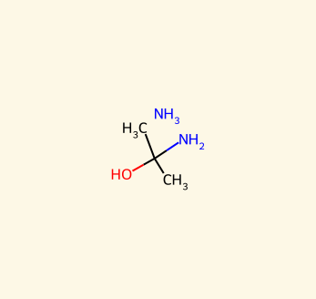 CC(C)(N)O.N